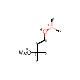 COC(C)(C)CCOB(C)C